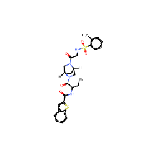 Cc1ccccc1S(=O)(=O)NCC(=O)N1C[C@@H]2C[C@H]1CN2C(=O)C(CC(C)C)NC(=O)c1cc2ccccc2s1